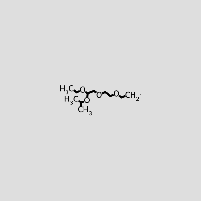 [CH2]COCCOCC(OCC)OC(C)C